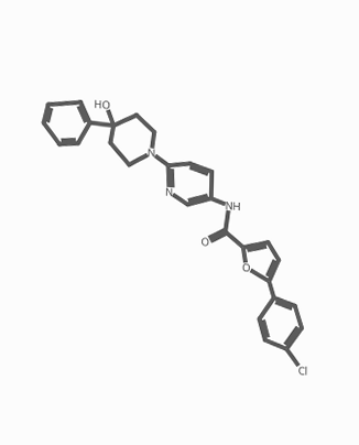 O=C(Nc1ccc(N2CCC(O)(c3ccccc3)CC2)nc1)c1ccc(-c2ccc(Cl)cc2)o1